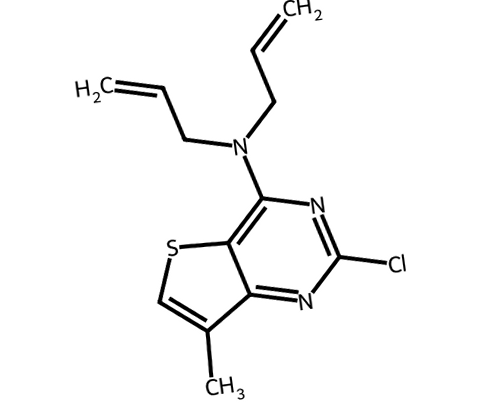 C=CCN(CC=C)c1nc(Cl)nc2c(C)csc12